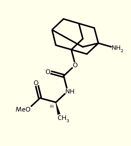 COC(=O)[C@H](C)NC(=O)OC12CC3CC(CC(N)(C3)C1)C2